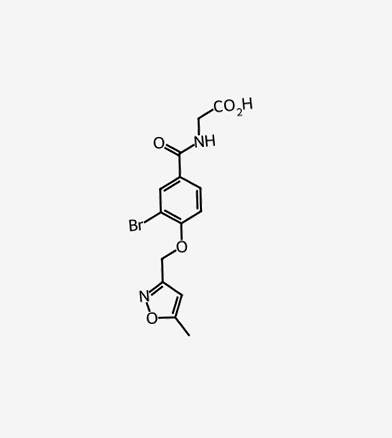 Cc1cc(COc2ccc(C(=O)NCC(=O)O)cc2Br)no1